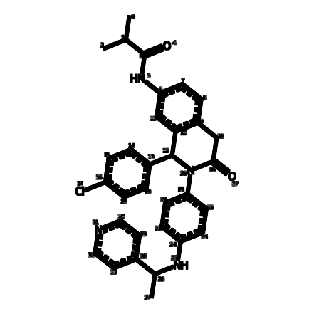 CC(C)C(=O)Nc1ccc2c(c1)C(c1ccc(Cl)cc1)N(c1ccc(NC(C)c3ccncc3)cc1)C(=O)C2